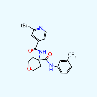 CC(C)(C)c1cc(C(=O)NC2(C(=O)Nc3cccc(C(F)(F)F)c3)CCOCC2)ccn1